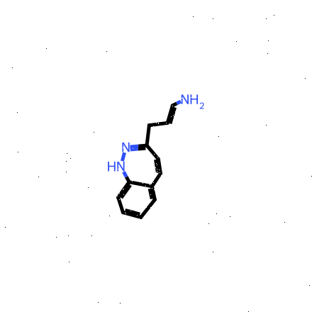 NC=CCC1=NNc2ccccc2C=C1